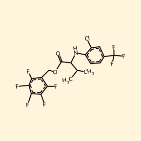 CC(C)C(Nc1ccc(C(F)(F)F)cc1Cl)C(=O)OCc1c(F)c(F)c(F)c(F)c1F